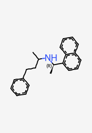 CC(CCc1ccccc1)N[C@H](C)c1cccc2ccccc12